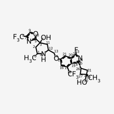 CC1CC(O)(c2nc(C(F)(F)F)co2)CC(COc2cc(C(F)(F)F)c3c(c2)c(F)nn3C2CC(C)(O)C2)N1